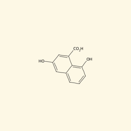 O=C(O)c1cc(O)cc2cccc(O)c12